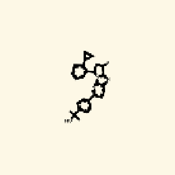 CC(C)(O)c1ccc(-c2ccc3nc4n(c3n2)C(c2ccccc2C2CC2)CC4F)cc1